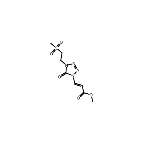 COC(=O)/C=C/n1nnn(CCS(C)(=O)=O)c1=O